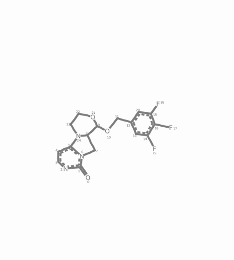 O=c1nccc2n1CC1C(OCc3cc(F)c(F)c(F)c3)OCCN21